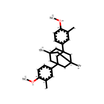 Cc1cc(C23CC4(c5ccc(OC#N)c(C)c5)CC(C(C)C)(C2)CC(C(C)(C)C)(C3)C4)ccc1OC#N